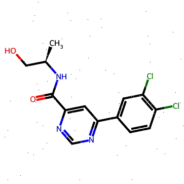 C[C@H](CO)NC(=O)c1cc(-c2ccc(Cl)c(Cl)c2)ncn1